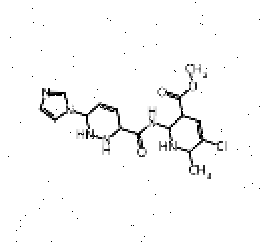 COC(=O)C1C=C(Cl)C(C)NC1NC(=O)C1C=CC(n2ccnc2)NN1